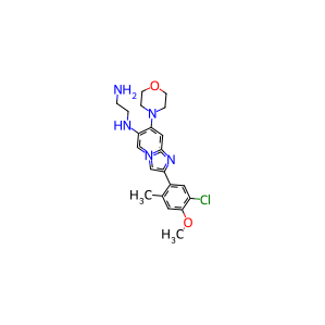 COc1cc(C)c(-c2cn3cc(NCCN)c(N4CCOCC4)cc3n2)cc1Cl